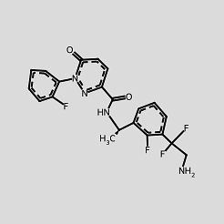 C[C@@H](NC(=O)c1ccc(=O)n(-c2ccccc2F)n1)c1cccc(C(F)(F)CN)c1F